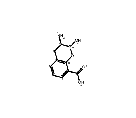 NC1Cc2cccc(C(=O)O)c2OB1O